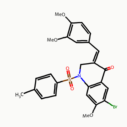 COc1cc2c(cc1Br)C(=O)/C(=C/c1ccc(OC)c(OC)c1)CN2S(=O)(=O)c1ccc(C)cc1